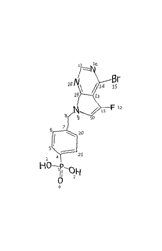 O=P(O)(O)c1ccc(Cn2cc(F)c3c(Br)ncnc32)cc1